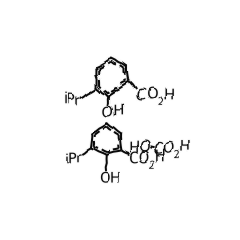 CC(C)c1cccc(C(=O)O)c1O.CC(C)c1cccc(C(=O)O)c1O.O=C(O)O